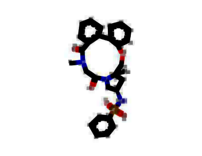 CN1CC(=O)N2C[C@H](NS(=O)(=O)c3ccccc3)C[C@H]2COc2ccccc2-c2ccccc2C1=O